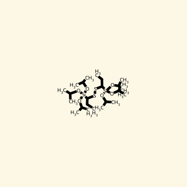 CCC(SSC(CC)[Si](OC(C)C)(OC(C)C)OC(C)C)[Si](OC(C)C)(OC(C)C)OC(C)C